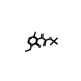 CCn1ccc(C)c(NC(=O)OC(C)(C)C)c1=O